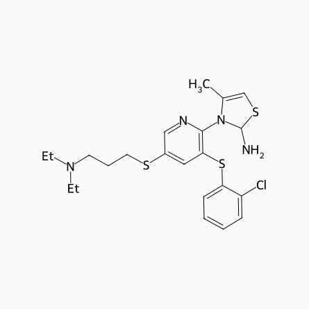 CCN(CC)CCCSc1cnc(N2C(C)=CSC2N)c(Sc2ccccc2Cl)c1